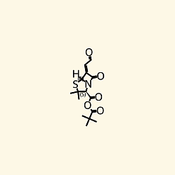 CC(C)(C)C(=O)OC(=O)[C@@H]1N2C(=O)C(=CC=O)[C@H]2SC1(C)C